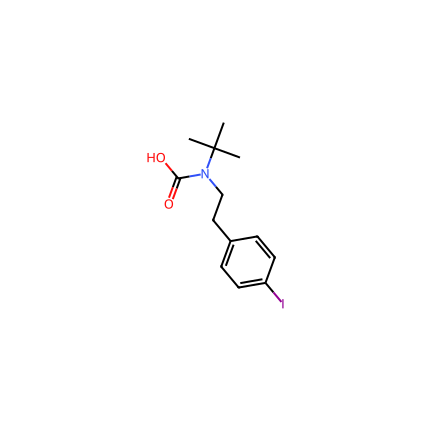 CC(C)(C)N(CCc1ccc(I)cc1)C(=O)O